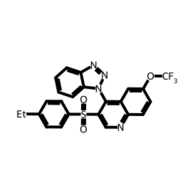 CCc1ccc(S(=O)(=O)c2cnc3ccc(OC(F)(F)F)cc3c2-n2nnc3ccccc32)cc1